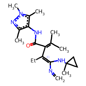 C=N/C(NC1(C)CC1)=C(\CC)C(C(=O)Nc1c(C)nn(C)c1C)=C(C)C